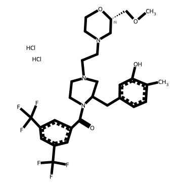 COC[C@@H]1CN(CCN2CCN(C(=O)c3cc(C(F)(F)F)cc(C(F)(F)F)c3)C(Cc3ccc(C)c(O)c3)C2)CCO1.Cl.Cl